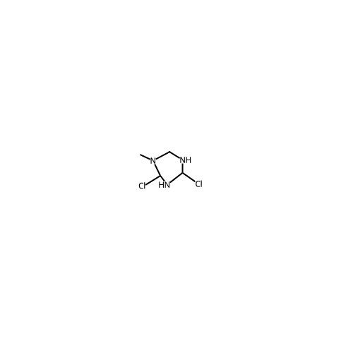 CN1CNC(Cl)NC1Cl